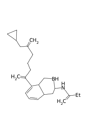 C=C(CCCC(=C)C1=CC=CC2CC(NC(=C)CC)BCC12)CC1CC1